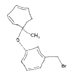 CC1(Oc2cccc(CBr)c2)C=CC=CC1